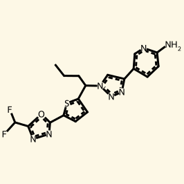 CCCC(c1ccc(-c2nnc(C(F)F)o2)s1)n1cc(-c2ccc(N)nc2)nn1